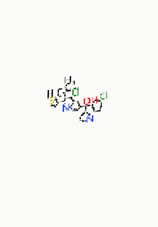 CC(C)c1c(-c2ccsc2)nc2ccc(C(O)(c3cccnc3)c3cccc(Cl)c3)cc2c1Cl